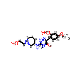 Cn1c(N[C@@H]2CCCN(CCO)C2)nnc(-c2ccc(OC(F)(F)F)cc2O)c1=O